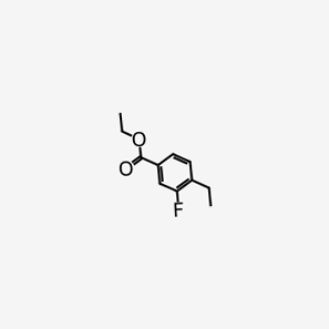 CCOC(=O)c1ccc(CC)c(F)c1